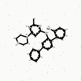 Cc1nc(Oc2cc(-c3ccccc3)ccc2-c2ccccc2C#N)cc(N2CCOCC2)n1